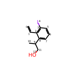 C=Cc1c(I)cccc1[C](C)CO